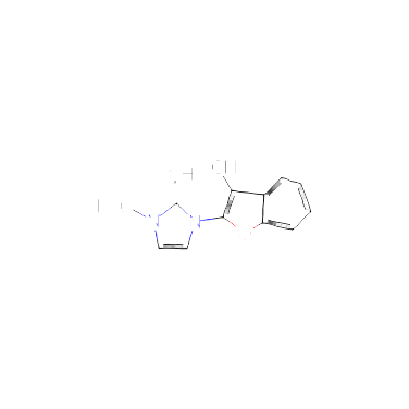 Cc1c(N2C=CN(C)[C@@H]2C)oc2ccccc12